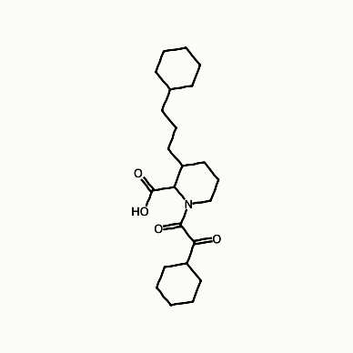 O=C(C(=O)N1CCCC(CCCC2CCCCC2)C1C(=O)O)C1CCCCC1